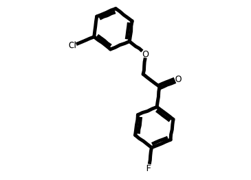 O=C(COc1cccc(Cl)c1)c1ccc(F)cc1